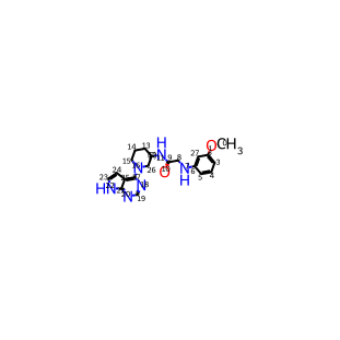 COc1cccc(NCC(=O)N[C@@H]2CCCN(c3ncnc4[nH]ccc34)C2)c1